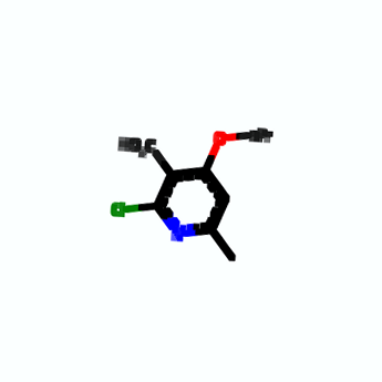 CCCOc1cc(C)nc(Cl)c1C(=O)O